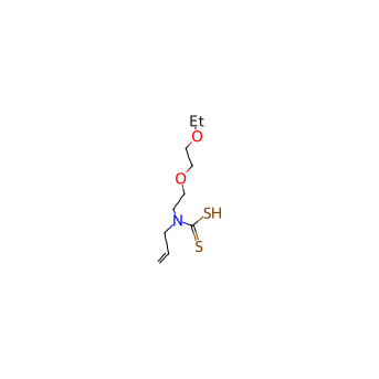 C=CCN(CCOCCOCC)C(=S)S